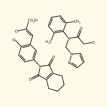 CCOC(=O)/C(Cl)=C/c1cc(N2C(=O)C3=C(CCCC3)C2=O)ccc1Cl.Cc1cccc(C)c1N(Cn1cccn1)C(=O)CCl